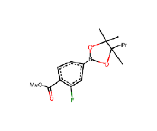 COC(=O)c1ccc(B2OC(C)(C)C(C)(C(C)C)O2)cc1F